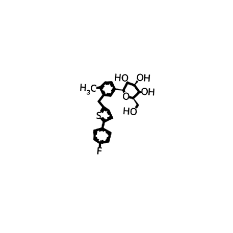 Cc1ccc([C@@H]2O[C@H](CO)C(O)[C@H](O)C2O)cc1Cc1ccc(-c2ccc(F)cc2)s1